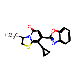 O=C(O)C1CSc2c(C3CC3)c(-c3nc4ccccc4o3)cc(=O)n21